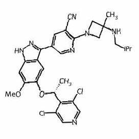 COc1cc2[nH]nc(-c3cnc(N4CC(C)(NCC(C)C)C4)c(C#N)c3)c2cc1O[C@H](C)c1c(Cl)cncc1Cl